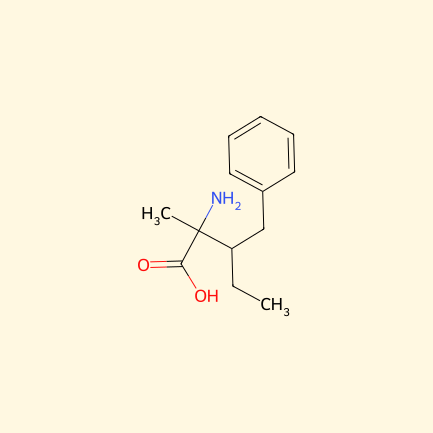 CCC(Cc1ccccc1)C(C)(N)C(=O)O